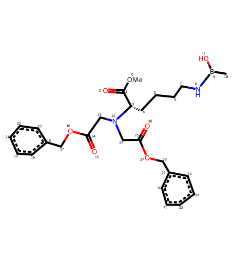 COC(=O)[C@H](CCCCNB(C)O)N(CC(=O)OCc1ccccc1)CC(=O)OCc1ccccc1